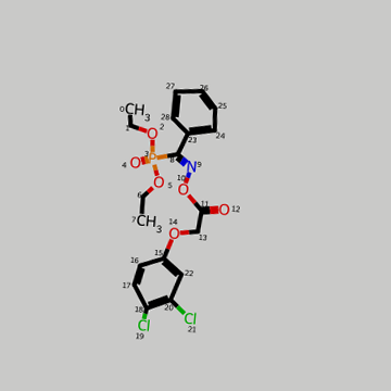 CCOP(=O)(OCC)C(=NOC(=O)COc1ccc(Cl)c(Cl)c1)c1ccccc1